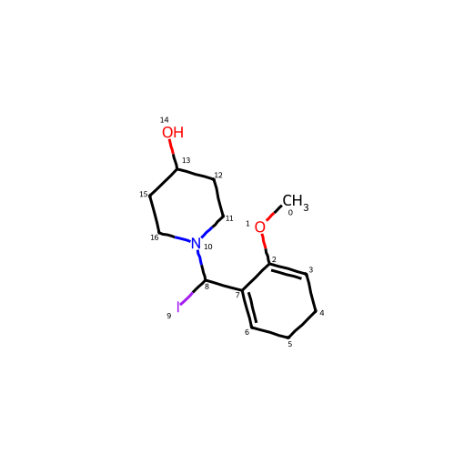 COC1=CCCC=C1C(I)N1CCC(O)CC1